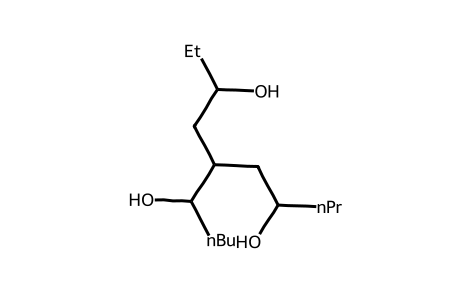 CCCCC(O)C(CC(O)CC)CC(O)CCC